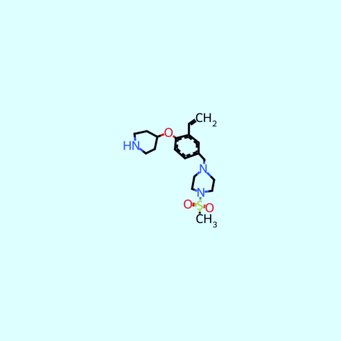 C=Cc1cc(CN2CCN(S(C)(=O)=O)CC2)ccc1OC1CCNCC1